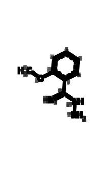 COc1ccccc1C(=N)NN